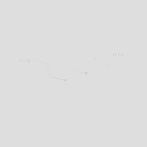 CCCCCCCC=CC(=O)OC(=O)C=CCCCCCCC